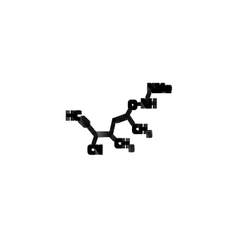 C#C/C(C#N)=C(C)\C=C(/C)ONNC